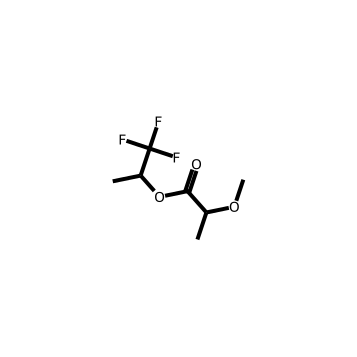 COC(C)C(=O)OC(C)C(F)(F)F